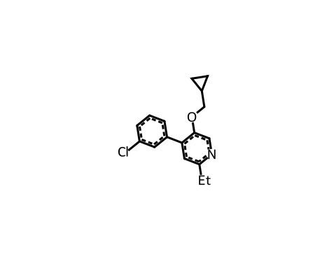 CCc1cc(-c2cccc(Cl)c2)c(OCC2CC2)cn1